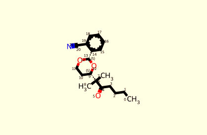 CCCCC(=O)C(C)(C)[C@@H]1CCO[C@H](c2ccccc2C#N)O1